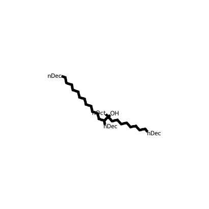 CCCCCCCCCCCCCCCCCCCCCCC(CCCCCCCCCC)C(O)(CCCCCCCC)CCCCCCCCCCCCCCCCCC